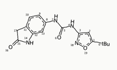 CC(C)(C)c1cc(NC(=O)Nc2ccc3c(c2)NC(=O)C3)no1